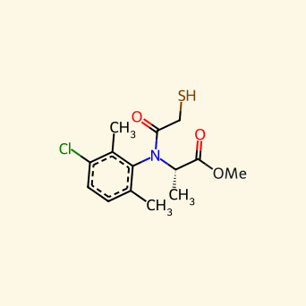 COC(=O)[C@H](C)N(C(=O)CS)c1c(C)ccc(Cl)c1C